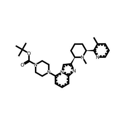 Cc1cccnc1[C@@H]1CCC[C@H](c2cn3c(N4CCN(C(=O)OC(C)(C)C)CC4)cccc3n2)N1C